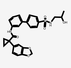 CC(O)CNS(=O)(=O)c1ccc(-c2cccc(NC(=O)C3(c4ccc5c(c4)OCO5)CC3)c2)cc1